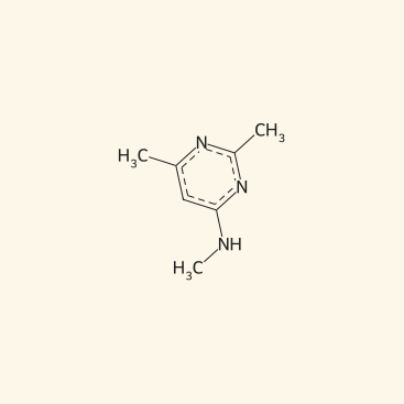 CNc1cc(C)nc(C)n1